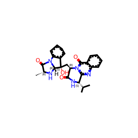 CC(C)[C@@H]1NC(=O)[C@@H](C[C@]2(O)c3ccccc3N3C(=O)[C@@H](C)N[C@H]32)n2c1nc1ccccc1c2=O